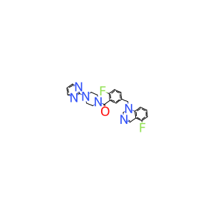 O=C(c1cc(CN2CN=Cc3c(F)cccc32)ccc1F)N1CCN(c2ncccn2)CC1